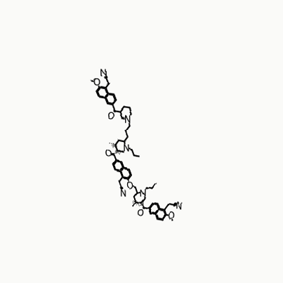 CCCN1C[C@H](C(=O)c2ccc3c(CC#N)c(OCC4C[C@H](C)[C@H](C(=O)c5ccc6c(CC#N)c(OC)ccc6c5)CN4CCC)ccc3c2)[C@H](C)CC1CCCN1CCCC(C(=O)c2ccc3c(CC#N)c(OC)ccc3c2)C1